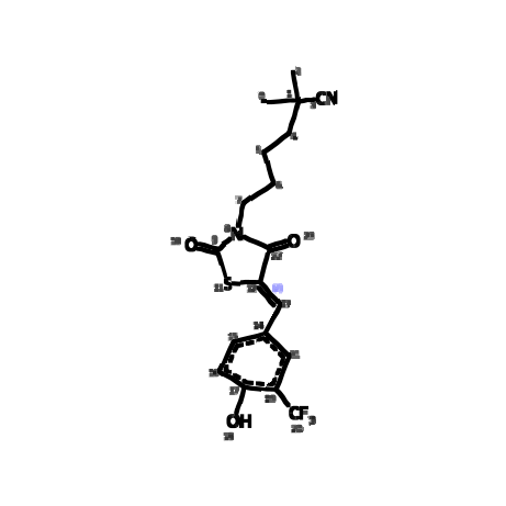 CC(C)(C#N)CCCCN1C(=O)S/C(=C\c2ccc(O)c(C(F)(F)F)c2)C1=O